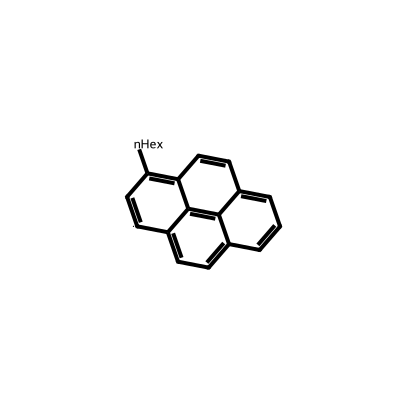 CCCCCCc1c[c]c2ccc3cccc4ccc1c2c34